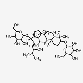 CC(C)C(O)/C=C/C(C)(OC1OC(CO)C(O)C(O)C1O)C1CCC2(C)C1C(O)CC1C3(C)CCC(OC4OC(CO)C(O)C(O)C4O)C(C)(C)C3CCC12C